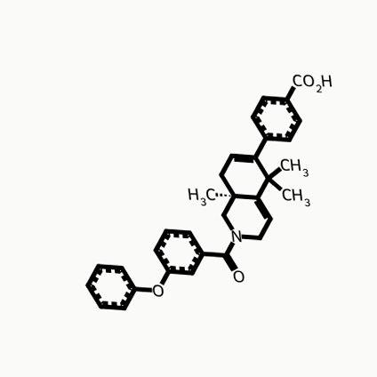 CC1(C)C(c2ccc(C(=O)O)cc2)=CC[C@]2(C)CN(C(=O)c3cccc(Oc4ccccc4)c3)CC=C12